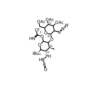 CC[C@H](C)C1OC(OC(=N)C(F)(F)F)C(O[C@H]2OC(COC(C)=O)[C@@H](OC(C)=O)C(OC(C)=O)C2N=[N+]=[N-])[C@@H](C)[C@@H]1PBB=O